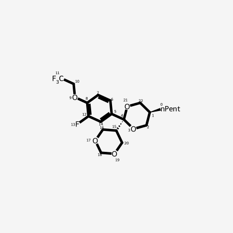 CCCCC[C@H]1CO[C@](c2ccc(OCC(F)(F)F)c(F)c2)(C2COCOC2)OC1